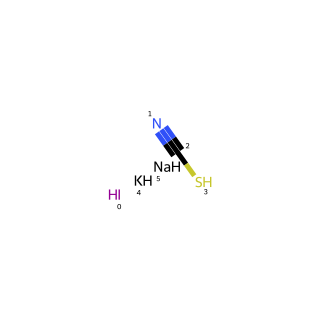 I.N#CS.[KH].[NaH]